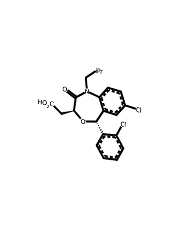 CC(C)CN1C(=O)[C@H](CC(=O)O)O[C@@H](c2ccccc2Cl)c2cc(Cl)ccc21